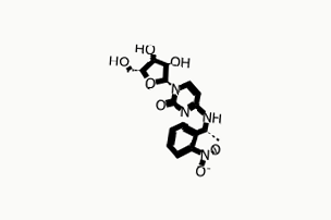 C[C@@H](Nc1ccn([C@@H]2O[C@H](CO)C(O)[C@@H]2O)c(=O)n1)c1ccccc1[N+](=O)[O-]